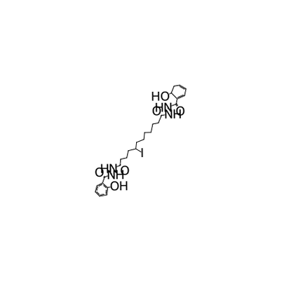 O=C(CCCCCCC(I)CCCC(=O)NNC(=O)c1ccccc1O)NNC(=O)C1=CC=CCC1O